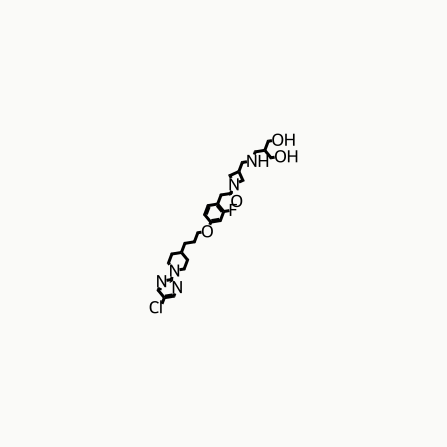 O=C(Cc1ccc(OCCCC2CCN(c3ncc(Cl)cn3)CC2)cc1F)N1CC(CNCC(CO)CO)C1